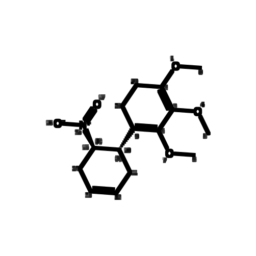 COC1=C(OC)C(OC)=C([C@@H]2CC=CC[C@H]2[N+](=O)[O-])CC1